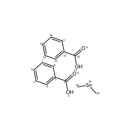 O=C(O)c1ccccc1.O=C(O)c1ccccc1.[CH3][Sn][CH3]